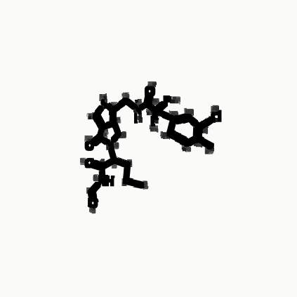 CCCC(C(=O)NC=O)N1Cc2c(csc2CNC(=O)C(F)(F)c2ccc(C)c(Cl)c2)C1=O